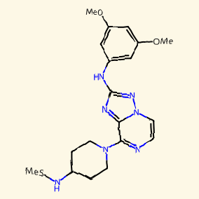 COc1cc(Nc2nc3c(N4CCC(NSC)CC4)nccn3n2)cc(OC)c1